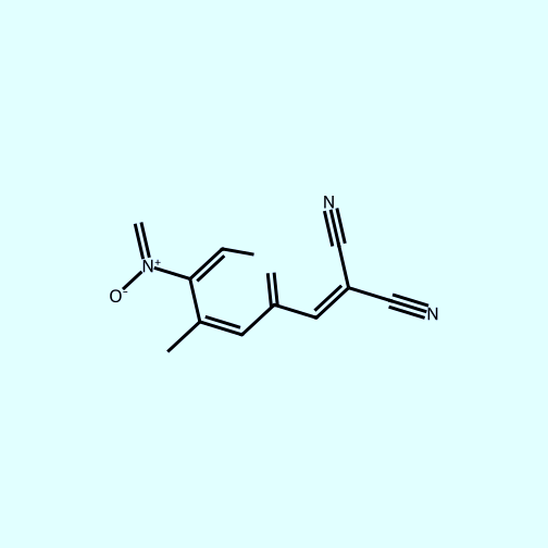 C=C(C=C(C#N)C#N)/C=C(C)\C(=C/C)[N+](=C)[O-]